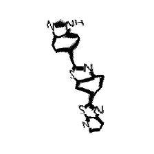 c1cnc2sc(-c3ccc4nc(-c5ccc6nc[nH]c6c5)sc4c3)nc2c1